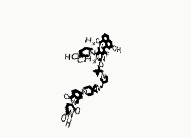 CCc1cccc2cc(O)cc(-c3ncc4c(N5CCC[C@@](C)(O)C5)nc(OCC5(CN6CC[C@@H](CN7CC8(CCN(c9ccc%10c(c9)CN(C9CCC(=O)NC9=O)C%10=O)CC8)C7)C6)CC5)nc4c3F)c12